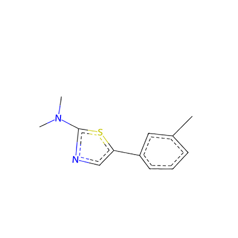 Cc1cccc(-c2cnc(N(C)C)s2)c1